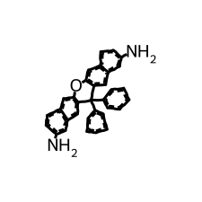 Nc1ccc2cc3c(cc2c1)C(c1ccccc1)(c1ccccc1)c1cc2cc(N)ccc2cc1O3